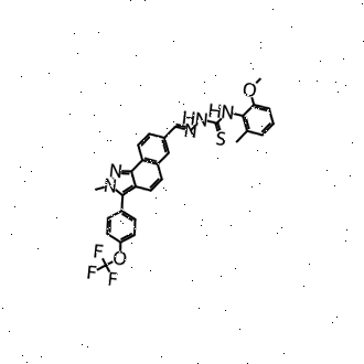 COc1cccc(C)c1NC(=S)NN=Cc1ccc2c(ccc3c(-c4ccc(OC(F)(F)F)cc4)n(C)nc32)c1